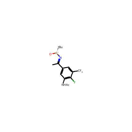 CC(=O)Nc1cc(/C(C)=N/[S@+]([O-])C(C)(C)C)cc(C(F)(F)F)c1F